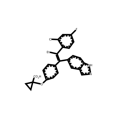 CCC(=C(c1ccc(OC2(C(=O)O)CC2)cc1)c1ccc2[nH]ncc2c1)c1ccc(F)cc1Cl